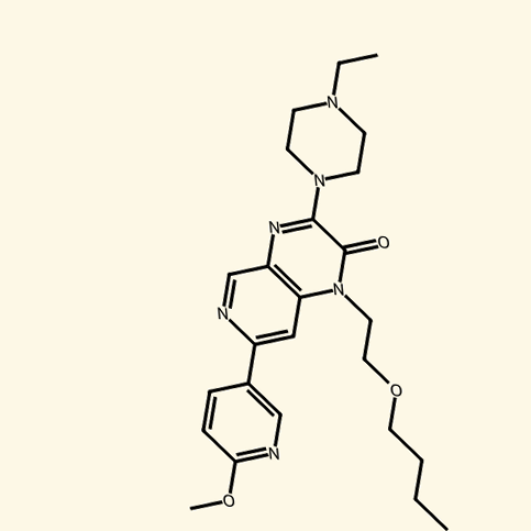 CCCCOCCn1c(=O)c(N2CCN(CC)CC2)nc2cnc(-c3ccc(OC)nc3)cc21